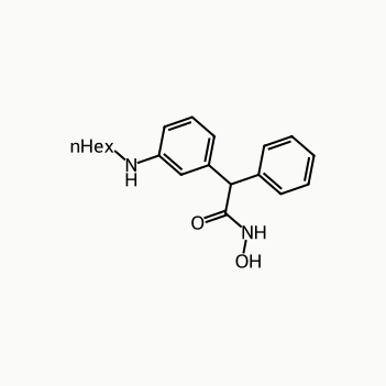 CCCCCCNc1cccc(C(C(=O)NO)c2ccccc2)c1